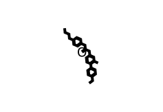 CCCCc1ccc(CC(=O)Cc2ccc(-c3ccc(CC)cc3)c(C)c2)cc1